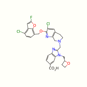 O=C(O)c1ccc2nc(CN3CCc4cc(Cl)c(OCc5ccc(Cl)c6cc(F)oc56)nc4C3)n(C[C@@H]3CCO3)c2c1